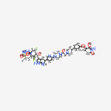 CC(Cc1ccc(F)c(C(=O)c2c[nH]c3ncc(-c4ccc(N5CCN(C(=O)CN6CCC(c7ccc(OC8CCC(=O)NC8=O)cc7)CC6)CC5)nc4)cc23)c1F)S(N)(=O)=O